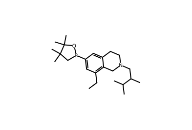 CCc1cc(B2CC(C)(C)C(C)(C)O2)cc2c1CN(CC(C)C(C)C)CC2